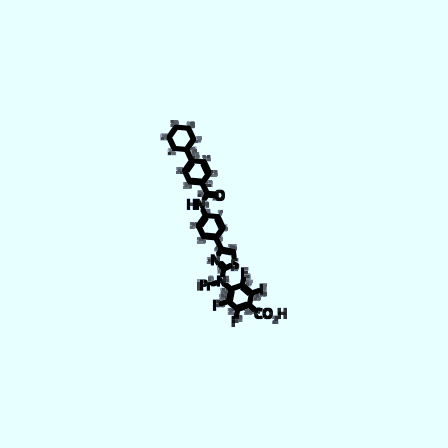 CC(C)N(c1nc(-c2ccc(NC(=O)c3ccc(C4CCCCC4)cc3)cc2)cs1)c1c(F)c(F)c(C(=O)O)c(F)c1F